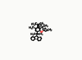 C=CCOc1c([Si](C)(C)C2c3ccccc3-c3ccccc32)cc(C)c([SiH](C)C)c1C(C)(C)C